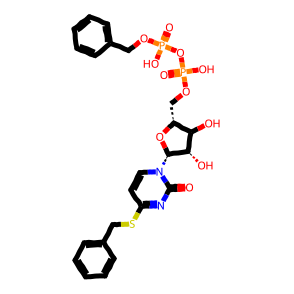 O=c1nc(SCc2ccccc2)ccn1[C@@H]1O[C@H](COP(=O)(O)OP(=O)(O)OCc2ccccc2)C(O)[C@@H]1O